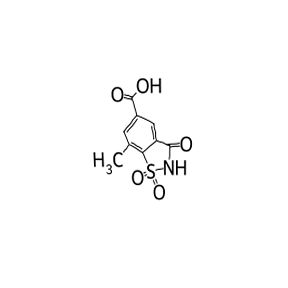 Cc1cc(C(=O)O)cc2c1S(=O)(=O)NC2=O